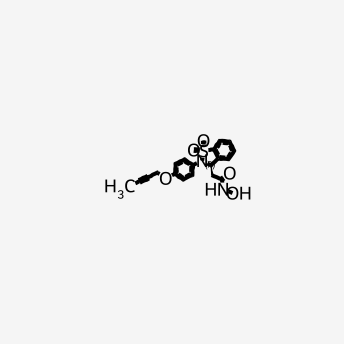 CC#CCOc1ccc(N2[C@H](CC(=O)NO)c3ccccc3S2(=O)=O)cc1